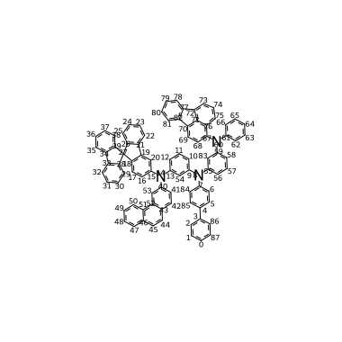 c1ccc(-c2ccc(N(c3cccc(N(c4ccc5c(c4)-c4ccccc4C54c5ccccc5-c5ccccc54)c4ccc5ccc6ccccc6c5c4)c3)c3cccc(N(c4ccccc4)c4ccc5c6c(cccc46)-c4ccccc4-5)c3)cc2)cc1